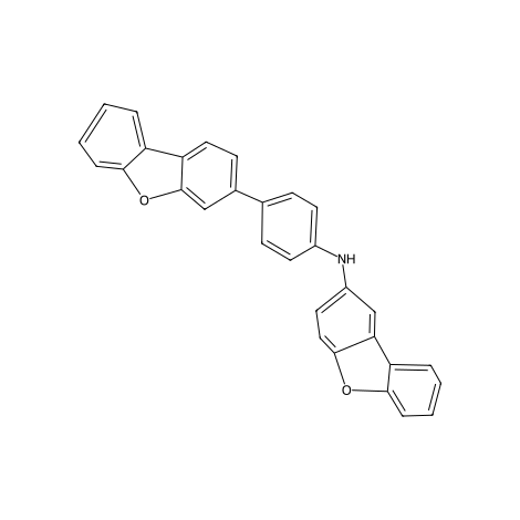 c1ccc2c(c1)oc1cc(-c3ccc(Nc4ccc5oc6ccccc6c5c4)cc3)ccc12